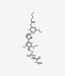 CCCCNCc1cc(CC)cc(-c2nc(-c3cc(C)c(OC[C@@H](O)CNC(=O)CO)c(CC)c3)no2)c1